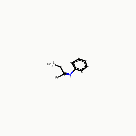 CCCC(CC(=O)O)=Nc1ccccc1